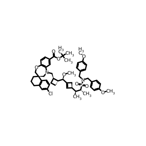 COc1ccc(CN(Cc2ccc(OC)cc2)S(=O)(=O)[C@H](C)[C@@H](C)[C@H]2C=C([C@H](OC)[C@@H]3CC[C@H]3CN3C[C@@]4(CCCc5cc(Cl)ccc54)COc4ccc(C(=O)OC(C)(C)C)cc43)C2)cc1